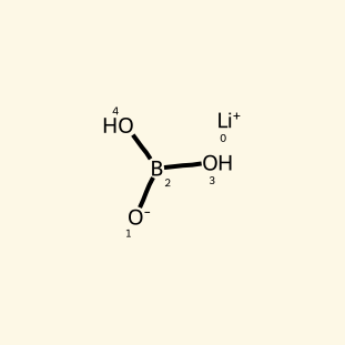 [Li+].[O-]B(O)O